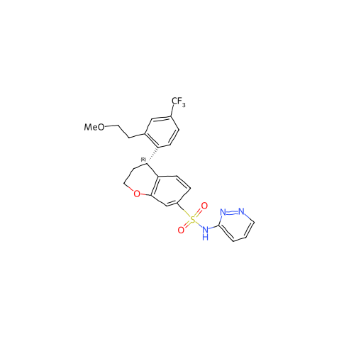 COCCc1cc(C(F)(F)F)ccc1[C@H]1CCOc2cc(S(=O)(=O)Nc3cccnn3)ccc21